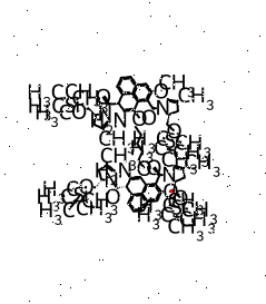 COc1cc2cccc3c2c(c1C(=O)N1C=C(C)C[C@H]1CO[Si](C)(C)C(C)(C)C)C(OCCCCCOC1=C(N)[C@@H](C(=O)N2C=C(C)C[C@H]2CO[Si](C)(C)C(C)(C)C)c2cccc4cc(OC)c(C(=O)N5C=C(C)C[C@H]5CO[Si](C)(C)C(C)(C)C)c1c24)=C(N)C3C(=O)N1C=C(C)C[C@H]1CO[Si](C)(C)C(C)(C)C